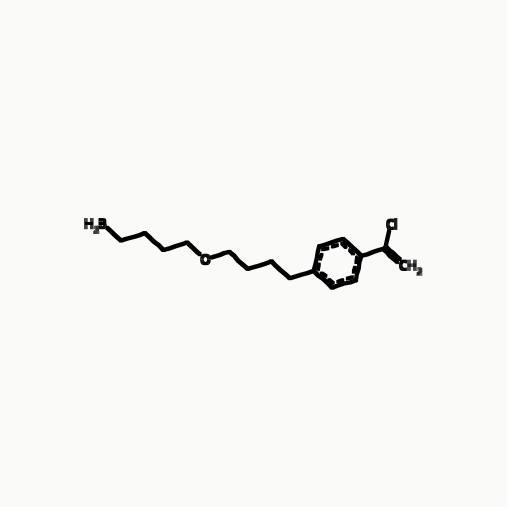 BCCCCOCCCCc1ccc(C(=C)Cl)cc1